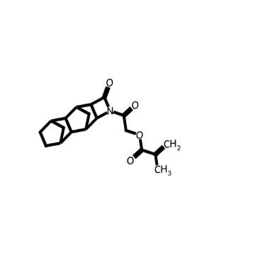 C=C(C)C(=O)OCC(=O)N1C(=O)C2C3CC(C4C5CCC(C5)C34)C21